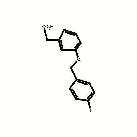 O=C(O)Cc1cccc(OCc2ccc(F)cc2)c1